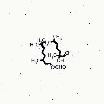 C=CC(C)(O)CCC=C(C)C.CC(C)=CCCC(C)CCOC=O